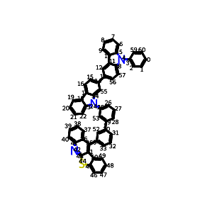 c1ccc(-n2c3ccccc3c3cc(-c4ccc5c6ccccc6n(-c6cccc(-c7cccc(-c8c9ccccc9nc9sc%10ccccc%10c89)c7)c6)c5c4)ccc32)cc1